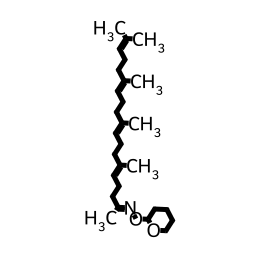 CC(C)=CCC/C(C)=C/CC/C(C)=C/CC/C(C)=C/CC/C(C)=N/OC1CCCCO1